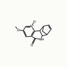 COc1cc2c([n+]([O-])c1)C1C3C=CC(C3)C1NC2=O